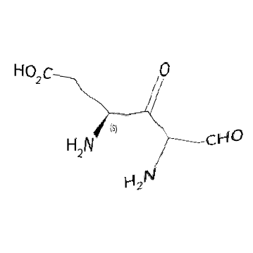 NC(C=O)C(=O)[C@@H](N)CC(=O)O